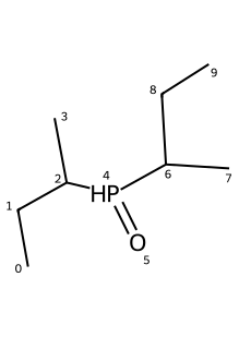 CCC(C)[PH](=O)C(C)CC